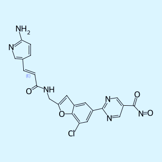 Nc1ccc(/C=C/C(=O)NCc2cc3cc(-c4ncc(C(=O)N=O)cn4)cc(Cl)c3o2)cn1